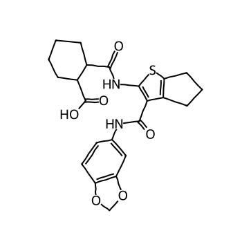 O=C(Nc1ccc2c(c1)OCO2)c1c(NC(=O)C2CCCCC2C(=O)O)sc2c1CCC2